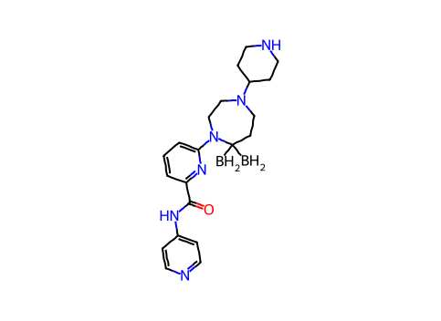 BC1(B)CCN(C2CCNCC2)CCN1c1cccc(C(=O)Nc2ccncc2)n1